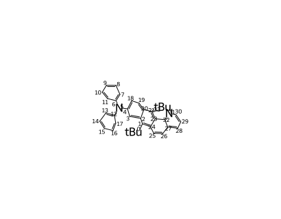 CC(C)(C)c1c2cc(N(c3ccccc3)c3ccccc3)ccc2c(C(C)(C)C)c2c1ccc1cccnc12